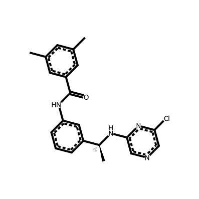 Cc1cc(C)cc(C(=O)Nc2cccc([C@H](C)Nc3cncc(Cl)n3)c2)c1